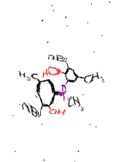 CCCCc1cc(C)cc(P(C)c2cc(C)cc(CCCC)c2O)c1O